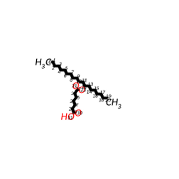 CCCCCCCCCCC(CCCCCCCCCC)OC(=O)CCCCCC(=O)O